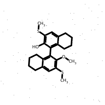 COc1c(SC)cc2c(c1-c1c(O)c(SC)cc3c1CCCC3)CCCC2